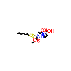 CCCCCCCSSC[C@H](NC(C)C(=O)N1CCC[C@H]1C(=O)O)C(=O)OCC